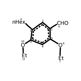 CCCCCCc1cc(C=O)c(OCC)cc1OCC